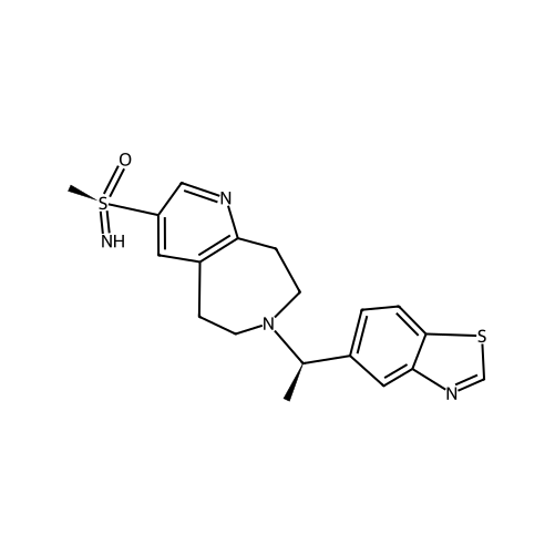 C[C@H](c1ccc2scnc2c1)N1CCc2cc([S@](C)(=N)=O)cnc2CC1